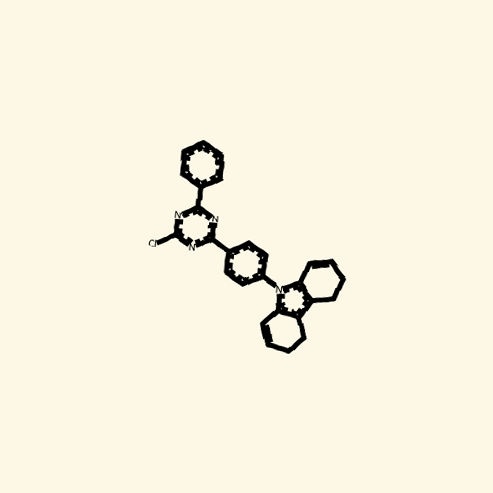 Clc1nc(-c2ccccc2)nc(-c2ccc(-n3c4c(c5c3C=CCC5)CCC=C4)cc2)n1